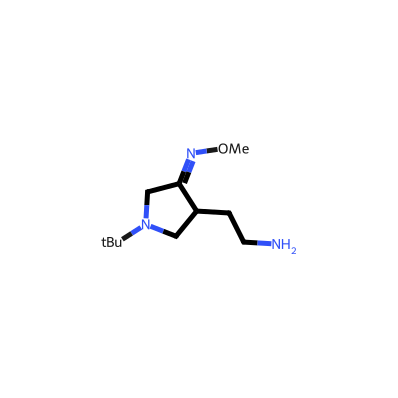 CO/N=C1/CN(C(C)(C)C)CC1CCN